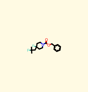 CC(C)(F)CC1(F)CCN(C(=O)OCc2ccccc2)CC1